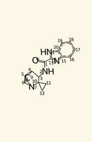 O=C(NC1C2CCN(CC2)C12CC2)c1nc2ccccc2[nH]1